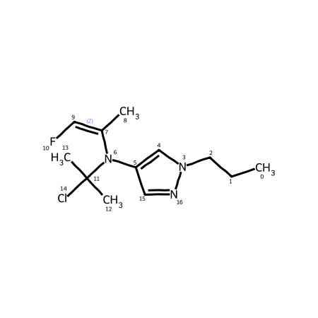 CCCn1cc(N(/C(C)=C\F)C(C)(C)Cl)cn1